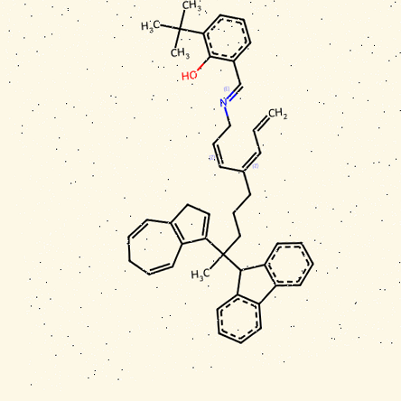 C=C/C=C(\C=C/C/N=C/c1cccc(C(C)(C)C)c1O)CCCC(C)(C1=CCC2=C1C=CCC=C2)C1c2ccccc2-c2ccccc21